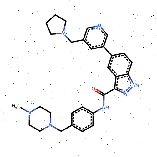 CN1CCN(Cc2ccc(NC(=O)c3n[nH]c4ccc(-c5cncc(CN6CCCC6)c5)cc34)cc2)CC1